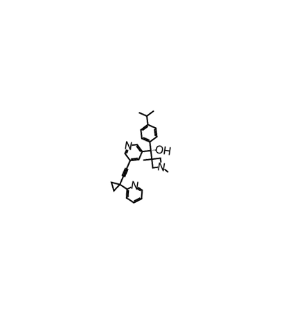 CC(C)c1ccc([C@](O)(c2cncc(C#CC3(c4ccccn4)CC3)c2)C2(C)CN(C)C2)cc1